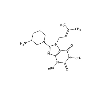 CCCCn1c(=O)n(C)c(=O)c2c1nc(N1CCCC(N)C1)n2CC=C(C)C